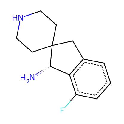 N[C@H]1c2c(F)cccc2CC12CCNCC2